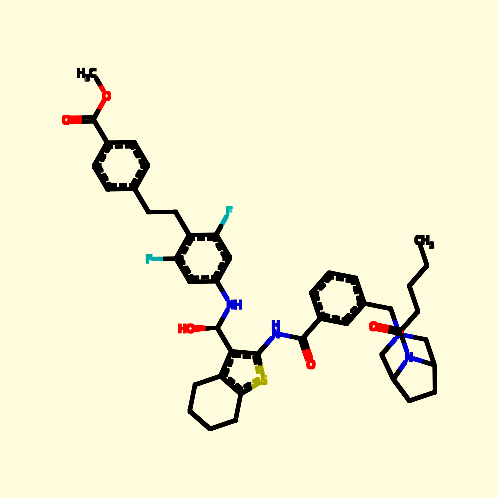 CCCCC(=O)N1C2CCC1CN(Cc1cccc(C(=O)Nc3sc4c(c3[C@@H](O)Nc3cc(F)c(CCc5ccc(C(=O)OC)cc5)c(F)c3)CCCC4)c1)C2